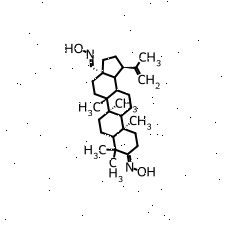 C=C(C)[C@@H]1CC[C@]2(/C=N/O)CC[C@]3(C)C(CCC4[C@@]5(C)CC/C(=N\O)C(C)(C)C5CC[C@]43C)C12